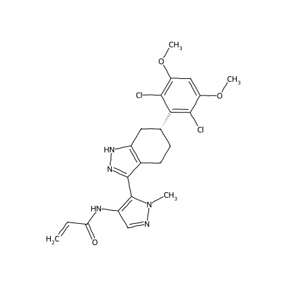 C=CC(=O)Nc1cnn(C)c1-c1n[nH]c2c1CC[C@@H](c1c(Cl)c(OC)cc(OC)c1Cl)C2